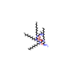 CCCCCCCCCCN(CC(N)=O)C(=O)CN(CCCCCCCCCC)C(=O)CN(CCCCCCCCCC)C(=O)CN(CCCCCCCCCC)C(=O)CNCC